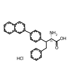 Cl.N[C@H](C(=O)O)C(Cc1ccccc1)c1ccc(-c2ccc3ccccc3c2)cc1